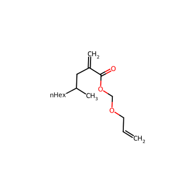 C=CCOCOC(=O)C(=C)CC(C)CCCCCC